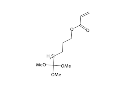 C=CC(=O)OCCC[SiH2]C(OC)(OC)OC